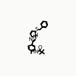 Cc1ccc(-c2cn3nc(SCc4ccccc4)ccc3n2)cc1NC(=O)C(C)(C)C